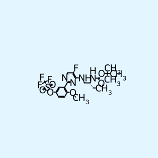 CC[C@H](CNc1nc(-c2cc(OS(=O)(=O)C(F)(F)F)ccc2OC)ncc1F)NC(=O)OC(C)(C)C